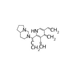 C#CC1=C(C(=C=C)N2CCC3CCCN3C2)NC=C(C=C)C1=C